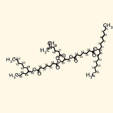 CCCCCCCCC(CCCCCCCC)OC(=O)CCCCCC(=O)OCC(COC(=O)CCCCCC(=O)OCC(CCCC)CCCCCC)OC(=O)CCCN(C)C